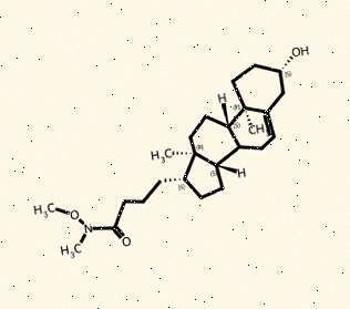 CON(C)C(=O)CCC[C@H]1CC[C@H]2C3CC=C4C[C@@H](O)CC[C@]4(C)[C@H]3CC[C@]12C